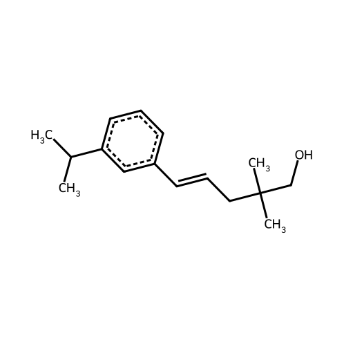 CC(C)c1cccc(/C=C/CC(C)(C)CO)c1